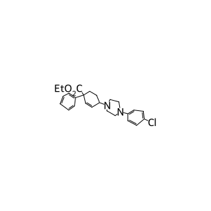 CCOC(=O)C1(c2ccccc2)C=CC(N2CCN(c3ccc(Cl)cc3)CC2)CC1